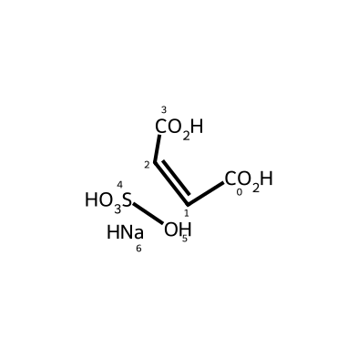 O=C(O)/C=C\C(=O)O.O=S(=O)(O)O.[NaH]